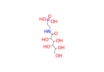 O=C(NCCP(=O)(O)O)C(O)C(O)C(O)C(O)CO